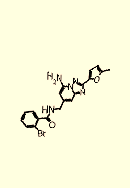 Cc1ccc(-c2nc3cc(CNC(=O)c4ccccc4Br)cc(N)n3n2)o1